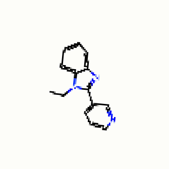 CCn1c(-c2cccnc2)nc2c[c]ccc21